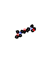 CC1(C)c2cc(N(c3ccccc3)c3ccccc3-c3ccccc3)ccc2-c2oc3c(c21)C(C)(C)c1cc(N(c2ccccc2)c2cccc4c2oc2ccccc24)ccc1-3